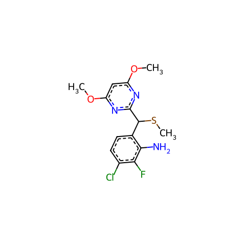 COc1cc(OC)nc(C(SC)c2ccc(Cl)c(F)c2N)n1